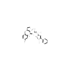 C[C@@H](c1ccc(F)cc1)c1ccn2nc(Nc3cc(-c4ccccc4)[nH]n3)nc(N)c12